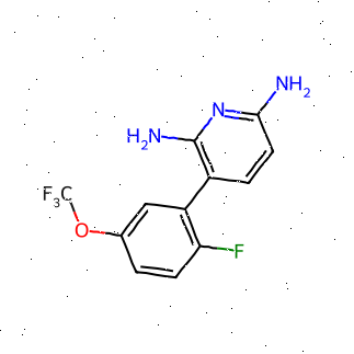 Nc1ccc(-c2cc(OC(F)(F)F)ccc2F)c(N)n1